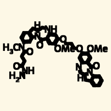 COc1cc2c(cc1OCCCOc1cc3c(cc1OC)C(=O)N1c4cc(N(C)C(=O)CCC(=O)NN)ccc4C[C@H]1CN3)N=C[C@@H]1Cc3ccccc3N1C2=O